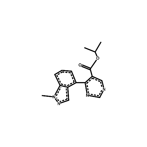 CC(C)OC(=O)c1cncnc1-c1cccc2c1cnn2C